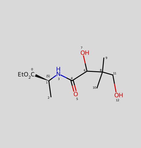 CCOC(=O)[C@H](C)NC(=O)C(O)C(C)(C)CO